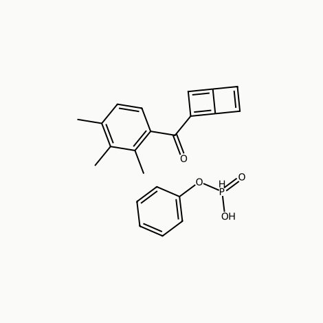 Cc1ccc(C(=O)c2cc3ccc2-3)c(C)c1C.O=[PH](O)Oc1ccccc1